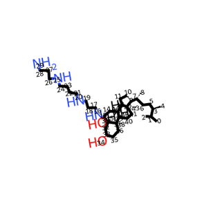 CC(C)[C@H](C)CC[C@@H](C)[C@H]1CC[C@H]2[C@@H]3CC(NCCCNCCCCNCCCN)C4(O)CC(O)CC[C@]4(C)[C@H]3CC[C@]12C